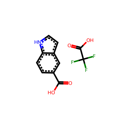 O=C(O)C(F)(F)F.O=C(O)c1ccc2[nH]ccc2c1